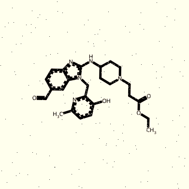 CCOC(=O)CCN1CCC(Nc2nc3ccc(C=O)cc3n2Cc2nc(C)ccc2O)CC1